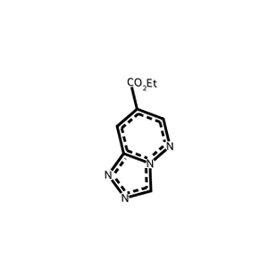 CCOC(=O)c1cnn2cnnc2c1